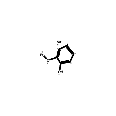 CCOc1ccccc1O.[Na]